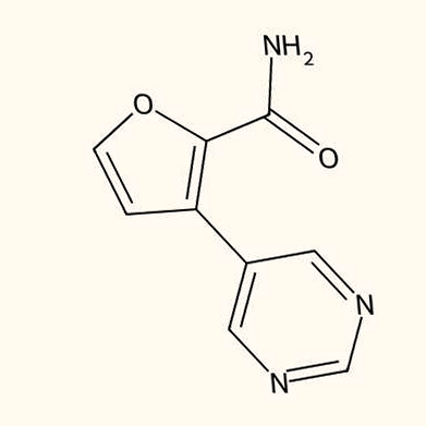 NC(=O)c1occc1-c1cncnc1